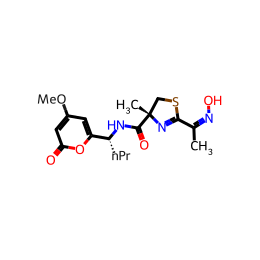 CCC[C@@H](NC(=O)[C@]1(C)CSC(/C(C)=N\O)=N1)c1cc(OC)cc(=O)o1